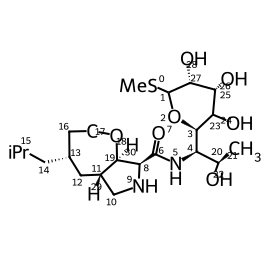 CSC1O[C@H]([C@H](NC(=O)[C@H]2NC[C@@H]3C[C@H](CC(C)C)CCO[C@H]32)[C@@H](C)O)C(O)[C@@H](O)[C@H]1O